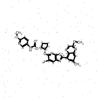 COc1ccc(NC(=O)O[C@@H]2CCC[C@@H]2Oc2nc3sc(-c4cc(C)cc5nc(OC)cnc45)nc3cc2F)cn1